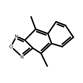 Cc1c2ccccc2c(C)c2nonc12